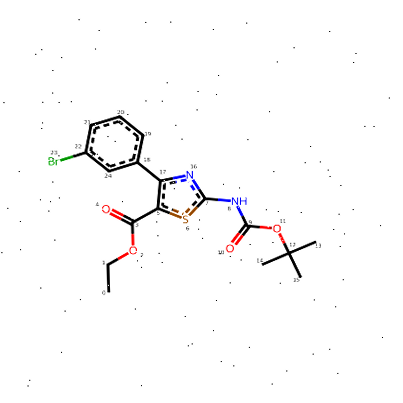 CCOC(=O)c1sc(NC(=O)OC(C)(C)C)nc1-c1cccc(Br)c1